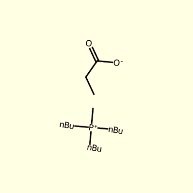 CCC(=O)[O-].CCCC[P+](C)(CCCC)CCCC